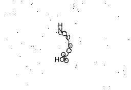 CO[C@@H](Cc1ccc(OCCCOc2ccc3c(c2)CCN3)cc1)C(=O)O